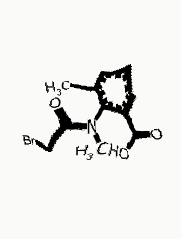 Cc1cccc(C(=O)O)c1N(C)C(=O)CBr